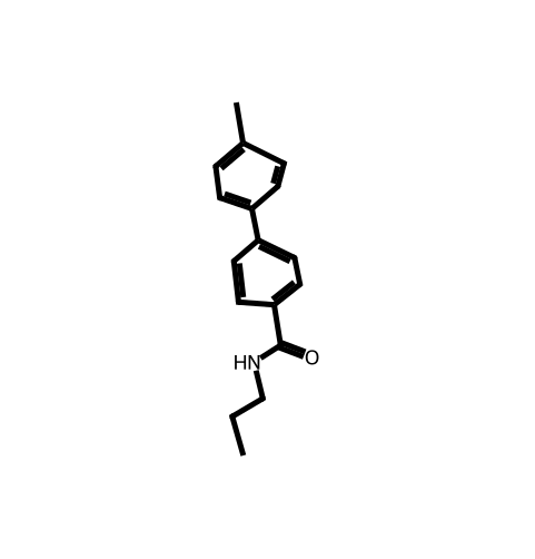 CCCNC(=O)c1ccc(-c2ccc(C)cc2)cc1